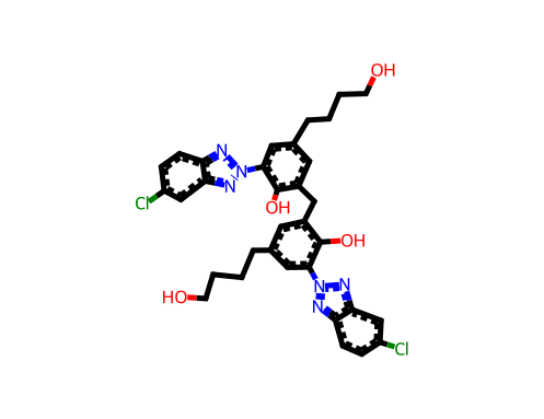 OCCCCc1cc(Cc2cc(CCCCO)cc(-n3nc4ccc(Cl)cc4n3)c2O)c(O)c(-n2nc3ccc(Cl)cc3n2)c1